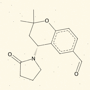 CC1(C)C[C@@H](N2CCCC2=O)c2cc(C=O)ccc2O1